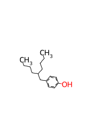 CCCCC(CCCC)Cc1ccc(O)cc1